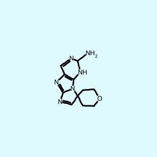 NC1N=Cc2nc3n(c2N1)C1(C=N3)CCOCC1